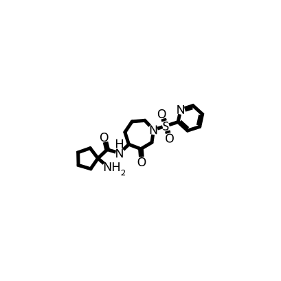 NC1(C(=O)NC2CCCN(S(=O)(=O)c3ccccn3)CC2=O)CCCC1